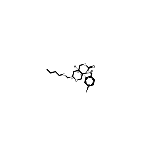 CCCCOC[C@H]1C[C@H]2COC(=O)N[C@@]2(c2cc(F)ccc2F)CO1